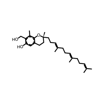 CC(C)=CCC/C(C)=C/CC/C(C)=C/CC[C@]1(C)CCc2cc(O)c(CO)c(C)c2O1